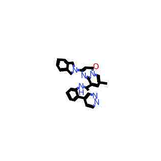 Cc1cc(C(C)Nc2ccccc2-c2ccnnc2)c2nc(N3Cc4ccccc4C3)cc(=O)n2c1